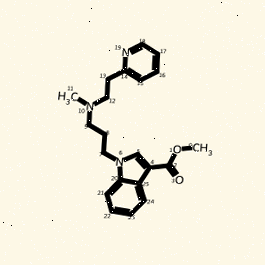 COC(=O)c1cn(CCCN(C)CCc2ccccn2)c2ccccc12